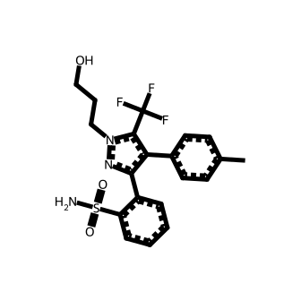 Cc1ccc(-c2c(-c3ccccc3S(N)(=O)=O)nn(CCCO)c2C(F)(F)F)cc1